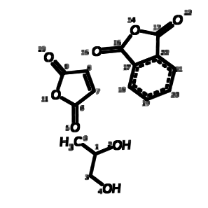 CC(O)CO.O=C1C=CC(=O)O1.O=C1OC(=O)c2ccccc21